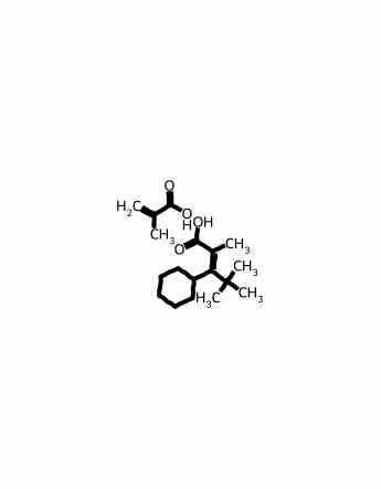 C=C(C)C(=O)O.CC(C(=O)O)=C(C1CCCCC1)C(C)(C)C